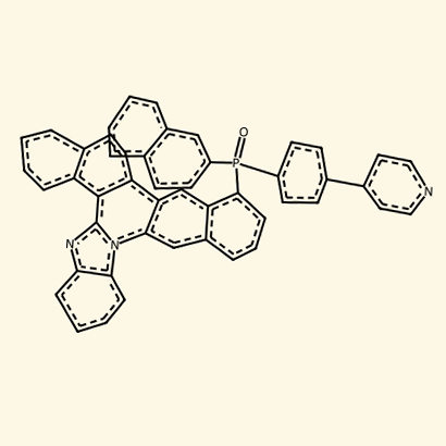 O=P(c1ccc(-c2ccncc2)cc1)(c1ccc2ccccc2c1)c1cccc2cc3c(cc12)c1ccc2ccccc2c1c1nc2ccccc2n31